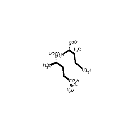 N[C@@H](CCC(=O)O)C(=O)[O-].N[C@@H](CCC(=O)O)C(=O)[O-].O.O.[Be+2]